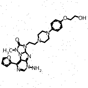 CN1C(=O)N(CCN2CCN(c3ccc(OCCO)cc3)CC2)C2N=C3C(=C(c4ccco4)N=CN3N)N21